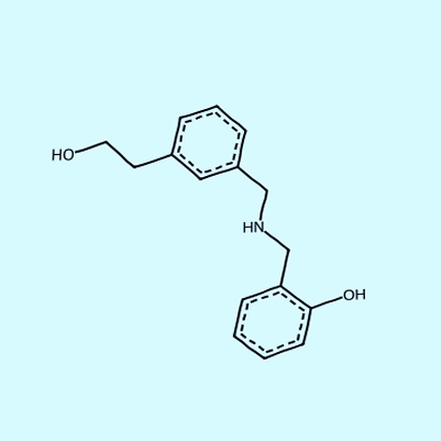 OCCc1cccc(CNCc2ccccc2O)c1